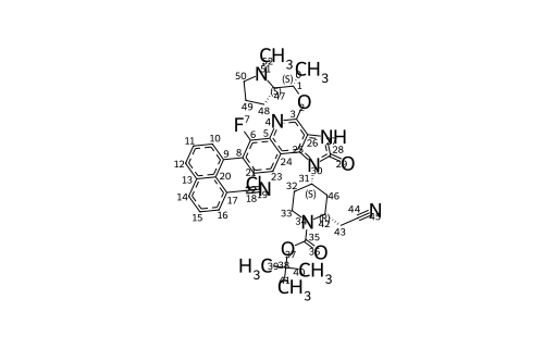 C[C@H](Oc1nc2c(F)c(-c3cccc4cccc(C#N)c34)c(Cl)cc2c2c1[nH]c(=O)n2[C@H]1CCN(C(=O)OC(C)(C)C)[C@@H](CC#N)C1)[C@@H]1CCCN1C